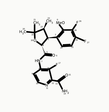 COc1c([C@H]2[C@H](C(=O)Nc3ccnc(C(N)=O)c3F)OC(C)(C)[C@H]2C)ccc(F)c1F